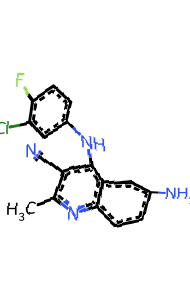 Cc1nc2ccc(N)cc2c(Nc2ccc(F)c(Cl)c2)c1C#N